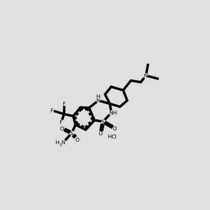 CN(C)CCC1CCC2(CC1)Nc1cc(C(F)(F)F)c(S(N)(=O)=O)cc1S(=O)(=O)N2.Cl